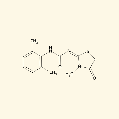 Cc1cccc(C)c1NC(=O)N=C1SCC(=O)N1C